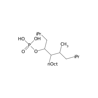 CCCCCCCCC(C(C)CC(C)C)C(CC(C)C)OP(=O)(O)O